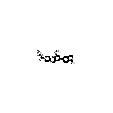 CONC(=O)N1CCC2(CC1)OCc1cc(-c3ccc4c(C)nccc4c3)cc(OC)c1O2